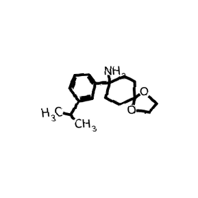 CC(C)c1cccc(C2(N)CCC3(CC2)OCCO3)c1